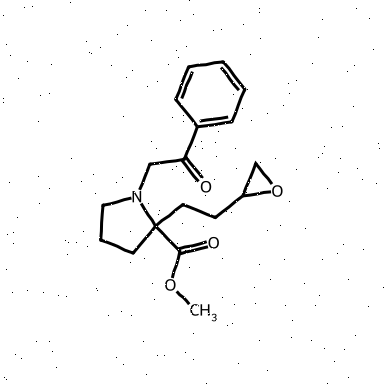 COC(=O)C1(CCC2CO2)CCCN1CC(=O)c1ccccc1